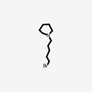 BrCCCCCN1CCCCC1